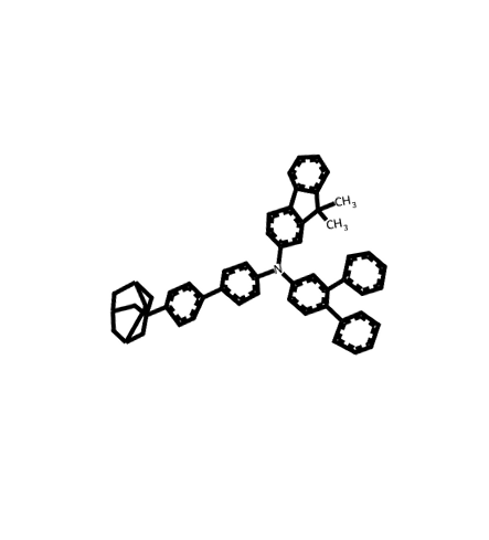 CC1(C)c2ccccc2-c2ccc(N(c3ccc(-c4ccc(C56CC7CC(CC(C7)C5)C6)cc4)cc3)c3ccc(-c4ccccc4)c(-c4ccccc4)c3)cc21